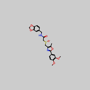 COc1ccc(-c2nc(C[S+]([O-])CC(=O)NCc3ccc4c(c3)OCO4)c(C)o2)cc1OC